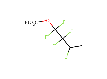 CCOC(=O)OC(F)(F)C(F)(F)C(C)F